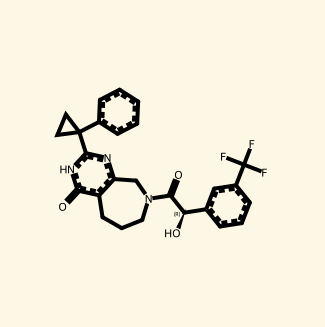 O=C([C@H](O)c1cccc(C(F)(F)F)c1)N1CCCc2c(nc(C3(c4ccccc4)CC3)[nH]c2=O)C1